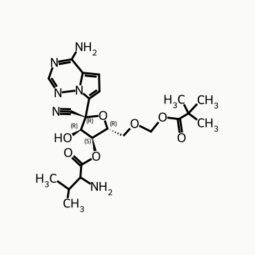 CC(C)C(N)C(=O)O[C@H]1[C@@H](O)[C@](C#N)(c2ccc3c(N)ncnn23)O[C@@H]1COCOC(=O)C(C)(C)C